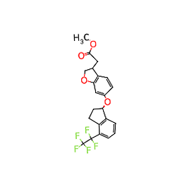 COC(=O)CC1COc2cc(O[C@@H]3CCc4c3cccc4C(F)(F)C(F)(F)F)ccc21